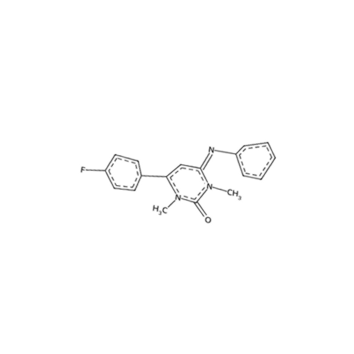 Cn1c(-c2ccc(F)cc2)cc(=Nc2ccccc2)n(C)c1=O